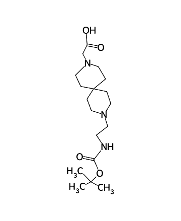 CC(C)(C)OC(=O)NCCN1CCC2(CC1)CCN(CC(=O)O)CC2